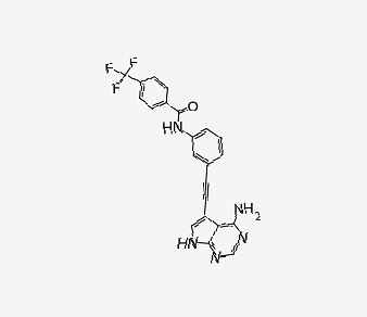 Nc1ncnc2[nH]cc(C#Cc3cccc(NC(=O)c4ccc(C(F)(F)F)cc4)c3)c12